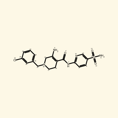 NC1=C(C(=O)Nc2ccc(S(N)(=O)=O)cn2)CCN(Cc2cccc(Cl)c2)C1